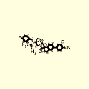 C[C@H](N(Cc1ccc(F)cc1)C(=O)CN1C(=O)O[C@@]2(CCc3cc(-c4ccc(C#N)c(F)c4)ccc32)C1=O)C(F)(F)F